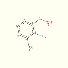 CCC(C)c1cccc(CO)c1F